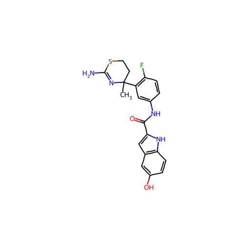 CC1(c2cc(NC(=O)c3cc4cc(O)ccc4[nH]3)ccc2F)CCSC(N)=N1